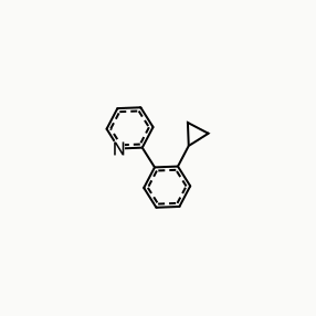 c1ccc(-c2ccccc2C2CC2)nc1